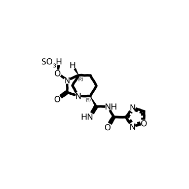 N=C(NC(=O)c1ncon1)[C@@H]1CC[C@@H]2CN1C(=O)N2OS(=O)(=O)O